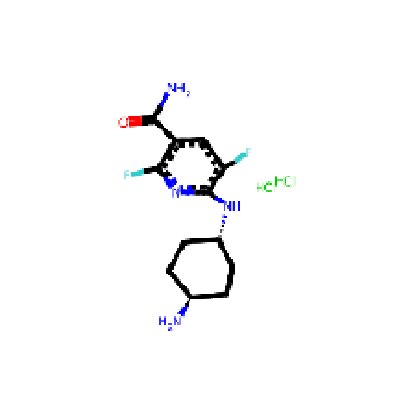 Cl.Cl.NC(=O)c1cc(F)c(N[C@H]2CC[C@H](N)CC2)nc1F